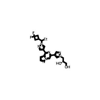 CCC(C1CC(F)(F)C1)n1cc(-c2nc(-c3cnn(C[C@@H](O)CO)c3)cn3nccc23)cn1